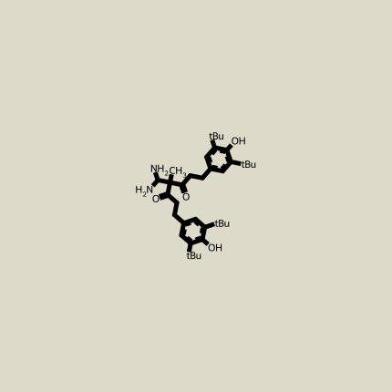 CC(C)(C)c1cc(CCC(=O)C(C)(C(=O)CCc2cc(C(C)(C)C)c(O)c(C(C)(C)C)c2)C(N)N)cc(C(C)(C)C)c1O